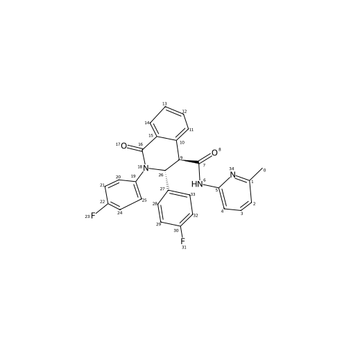 Cc1cccc(NC(=O)[C@@H]2c3ccccc3C(=O)N(c3ccc(F)cc3)[C@H]2c2ccc(F)cc2)n1